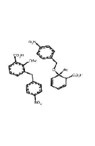 CC(=O)C1(OCc2ccc([N+](=O)[O-])cc2)C=CC=CC1C(=O)O.CC(=O)Oc1c(Cc2ccc([N+](=O)[O-])cc2)cccc1C(=O)O